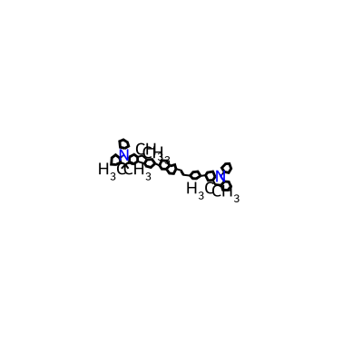 CC1(C)c2cc(-c3ccc4cc(/C=C/c5ccc(-c6ccc7c(c6)C(C)(C)c6ccccc6N7c6ccccc6)cc5)ccc4c3)ccc2-c2cc3c(cc21)N(c1ccccc1)c1ccccc1C3(C)C